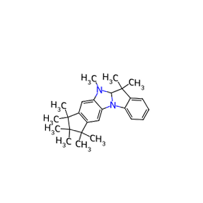 CN1c2cc3c(cc2N2c4ccccc4C(C)(C)C12)C(C)(C)C(C)(C)C3(C)C